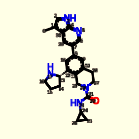 Cc1c[nH]c2ncc(-c3cc4c(c([C@@H]5CCCN5)c3)CN(C(=O)NC3CC3)CC4)cc12